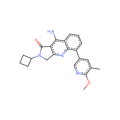 COc1ncc(-c2cccc3c(N)c4c(nc23)CN(C2CCC2)C4=O)cc1C